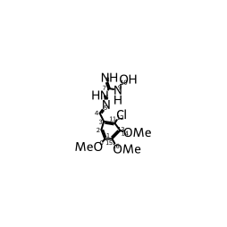 COc1cc(C=NNC(=N)NO)c(Cl)c(OC)c1OC